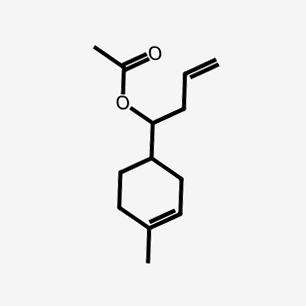 C=CCC(OC(C)=O)C1CC=C(C)CC1